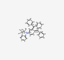 CC1(C)c2ccccc2N(c2ccc3c(-c4ccccc4)c4ccccc4c(-c4ccccc4)c3c2)C1(C)C